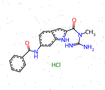 CN(C(=N)N)C(=O)c1cc2ccc(NC(=O)c3ccccc3)cc2[nH]1.Cl